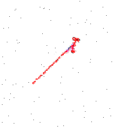 C.COCCOCCOCCOCCOCCOCCOCCOCCOCCOCCOCCOCCC(=O)NCCCC[C@H](NC(=O)OCC1c2ccccc2-c2ccccc21)C(=O)NOC1C(=O)CCC1=O